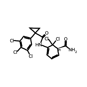 NC(=O)[C@H]1C=CC=C(NC(=O)C2(c3cc(Cl)c(Cl)c(Cl)c3)CC2)C1(Cl)Cl